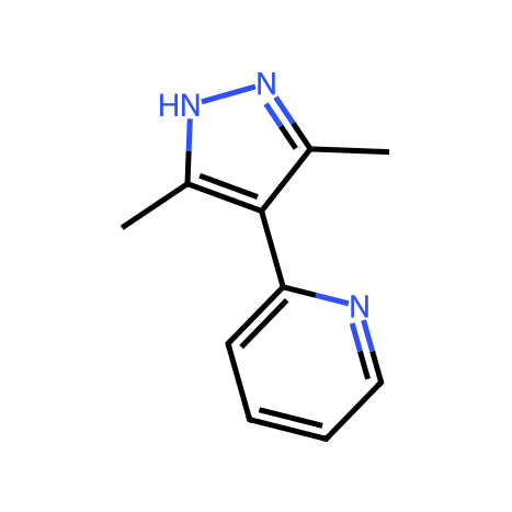 Cc1n[nH]c(C)c1-c1ccccn1